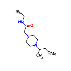 COCC(C)N1CCN(CC(=O)NCC(C)(C)C)CC1